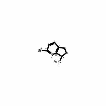 CC(=O)OC1CCc2ccc(Br)nc21